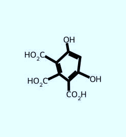 O=C(O)c1c(O)cc(O)c(C(=O)O)c1C(=O)O